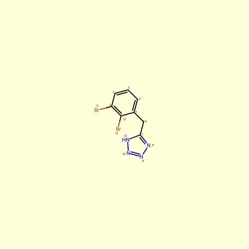 Brc1cccc([CH]c2nnn[nH]2)c1Br